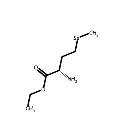 CCOC(=O)[C@@H](N)CC[Se]C